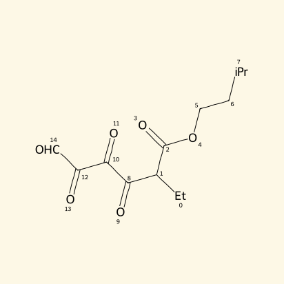 CCC(C(=O)OCCC(C)C)C(=O)C(=O)C(=O)C=O